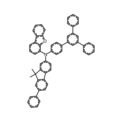 CC1(C)c2cc(-c3ccccc3)ccc2-c2ccc(N(c3ccc(-c4cc(-c5ccccc5)cc(-c5ccccc5)c4)cc3)c3cccc4c3oc3ccccc34)cc21